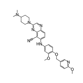 COc1ccc(COc2ccc(Nc3ccc4ncc(N5CCC(N(C)C)CC5)nc4c3C#N)cc2OC)cn1